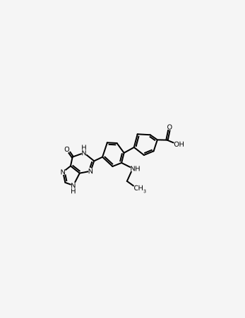 CCNc1cc(-c2nc3[nH]cnc3c(=O)[nH]2)ccc1-c1ccc(C(=O)O)cc1